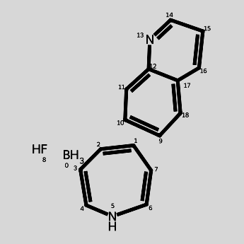 B.C1=CC=CNC=C1.F.c1ccc2ncccc2c1